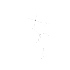 CCCC(C)(C/C(C)=C/CO)OC